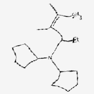 CCC(C(C)=C(C)[SiH3])N(C1CCCC1)C1CCCC1